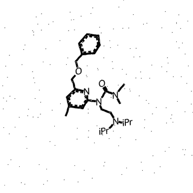 Cc1cc(COCc2ccccc2)nc(N(CCN(C(C)C)C(C)C)C(=O)N(C)C)c1